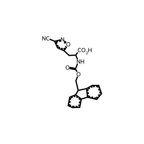 N#Cc1cc(CC(NC(=O)OCC2c3ccccc3-c3ccccc32)C(=O)O)on1